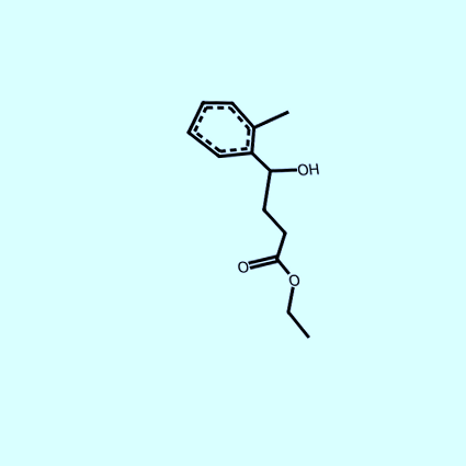 CCOC(=O)CCC(O)c1ccccc1C